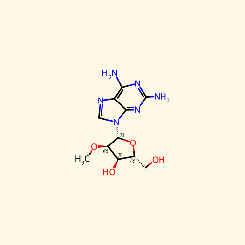 CO[C@@H]1[C@H](O)[C@@H](CO)O[C@H]1n1cnc2c(N)nc(N)nc21